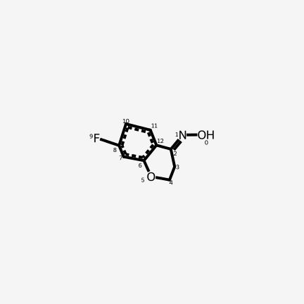 ON=C1CCOc2cc(F)ccc21